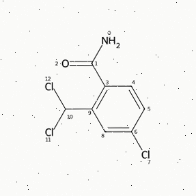 NC(=O)c1ccc(Cl)cc1C(Cl)Cl